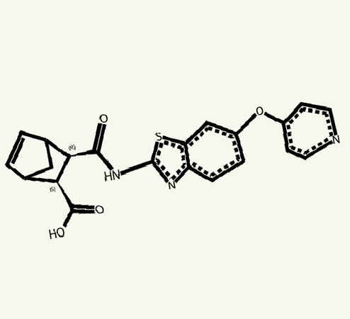 O=C(Nc1nc2ccc(Oc3ccncc3)cc2s1)[C@@H]1C2C=CC(C2)[C@@H]1C(=O)O